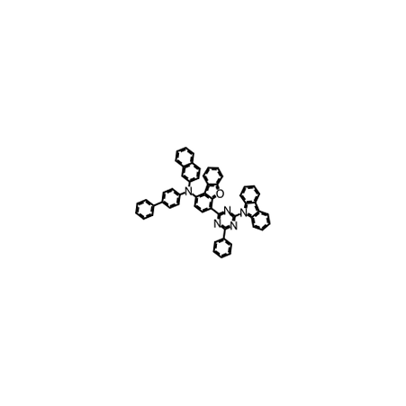 c1ccc(-c2ccc(N(c3ccc4ccccc4c3)c3ccc(-c4nc(-c5ccccc5)nc(-n5c6ccccc6c6ccccc65)n4)c4oc5ccccc5c34)cc2)cc1